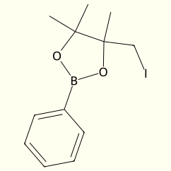 CC1(C)OB(c2ccccc2)OC1(C)CI